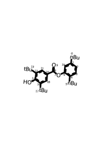 CCCCc1ccc(CCCC)c(OC(=O)c2cc(C(C)(C)C)c(O)c(C(C)(C)C)c2)c1